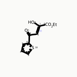 CCOC(=O)/C(O)=C/C(=O)c1cccs1